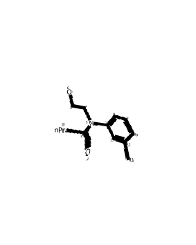 CCCC(=O)N(CC[O])c1cccc(C)c1